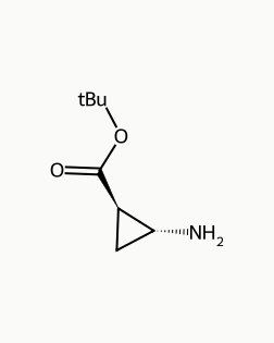 CC(C)(C)OC(=O)[C@@H]1C[C@H]1N